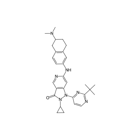 CN(C)C1CCc2cc(Nc3cc4c(cn3)c(=O)n(C3CC3)n4-c3ccnc(C(C)(C)C)n3)ccc2C1